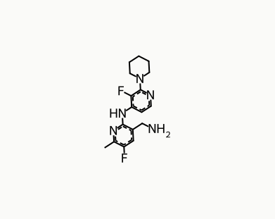 Cc1nc(Nc2ccnc(N3CCCCC3)c2F)c(CN)cc1F